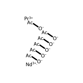 CC(=O)[O-].CC(=O)[O-].CC(=O)[O-].CC(=O)[O-].CC(=O)[O-].CC(=O)[O-].[Nd+3].[Pr+3]